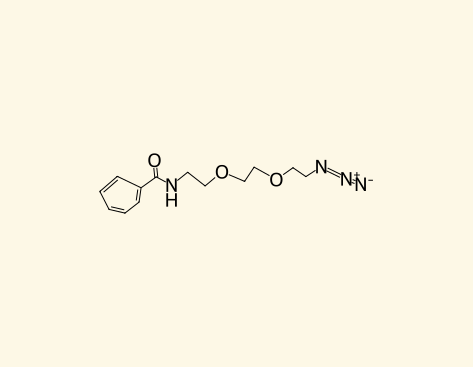 [N-]=[N+]=NCCOCCOCCNC(=O)c1ccccc1